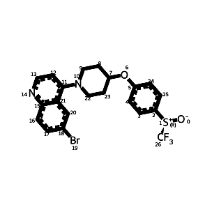 [O-][S@@+](c1ccc(OC2CCN(c3ccnc4ccc(Br)cc34)CC2)cc1)C(F)(F)F